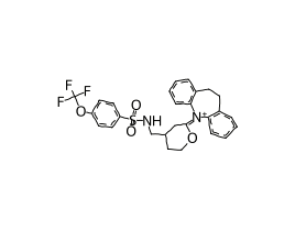 O=S(=O)(NCC1CCOC(=[N+]2c3ccccc3CCc3ccccc32)C1)c1ccc(OC(F)(F)F)cc1